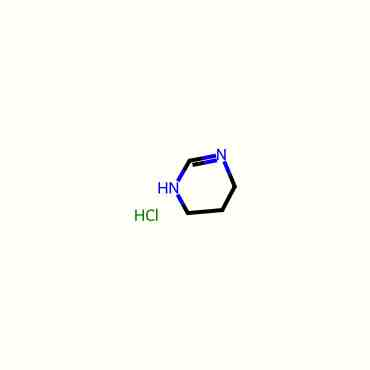 C1=NCCCN1.Cl